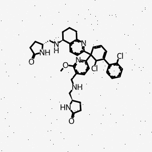 COc1nc(C2(c3ccc4c(n3)CCC[C@@H]4NC[C@H]3CCC(=O)N3)C=CC=C(c3ccccc3Cl)C2Cl)ccc1CNC[C@H]1CCC(=O)N1